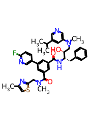 Cc1csc(CN(C)C(=O)c2cc(C(=O)N[C@@H](Cc3ccccc3)[C@H](O)CN(C)c3cncc(C(C)C)c3)cc(-c3ccc(F)nc3)c2)n1